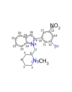 CN1CCCCC1Cn1c(-c2cc(I)cc([N+](=O)[O-])c2)[c]c2ccccc21